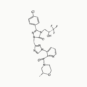 CC1CN(C(=O)c2ncccc2-n2cnc(Cn3nc(-c4ccc(Cl)cc4)n(CC(O)C(F)(F)F)c3=O)n2)CCO1